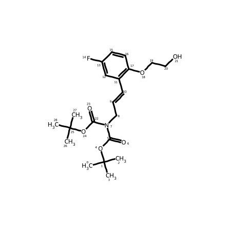 CC(C)(C)OC(=O)N(C/C=C/c1cc(F)ccc1OCCO)C(=O)OC(C)(C)C